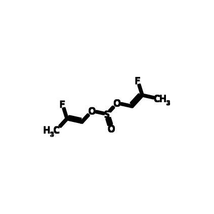 CC(F)=COS(=O)OC=C(C)F